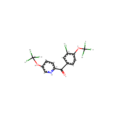 O=C(c1ccc(OC(F)(F)F)c(Cl)c1)c1ccc(OC(F)(F)F)cn1